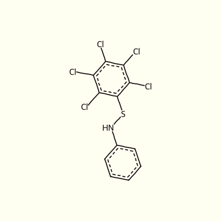 Clc1c(Cl)c(Cl)c(SNc2ccccc2)c(Cl)c1Cl